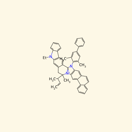 C=CC(C)C1(C)Cc2cc3c(cc2-c2n(-c4c(C)cc(-c5ccccc5)cc4C)c4cc5ccc6ccccc6c5cc4[n+]21)c1ccccc1n3CC